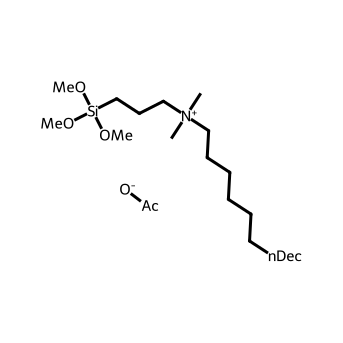 CC(=O)[O-].CCCCCCCCCCCCCCCC[N+](C)(C)CCC[Si](OC)(OC)OC